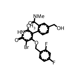 CNC(=O)c1cc(CO)ccc1-c1c(C)[nH]c(=O)c(Br)c1OCc1ccc(F)cc1F